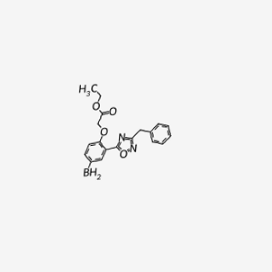 Bc1ccc(OCC(=O)OCC)c(-c2nc(Cc3ccccc3)no2)c1